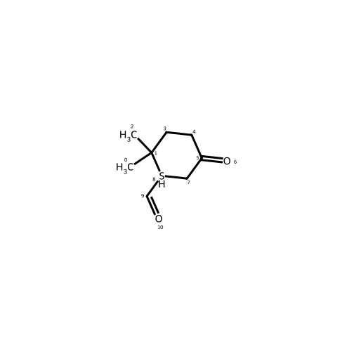 CC1(C)CCC(=O)C[SH]1C=O